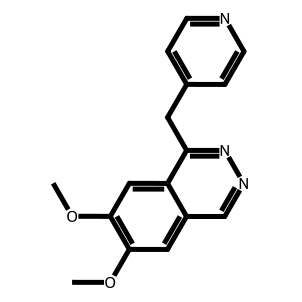 COc1cc2cnnc(Cc3ccncc3)c2cc1OC